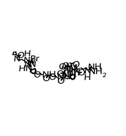 CC(=O)N[C@@H](CCCNC(=N)N)C(=O)N[C@H](C(=O)N[C@@H](CO)C(=O)N[C@@H](Cc1ccccc1)C(=O)NCCOCC(=O)NCCOc1ccc(Nc2ncc(Br)c(NCCCN(C)C(=O)C3CCC3)n2)cc1)C(C)C